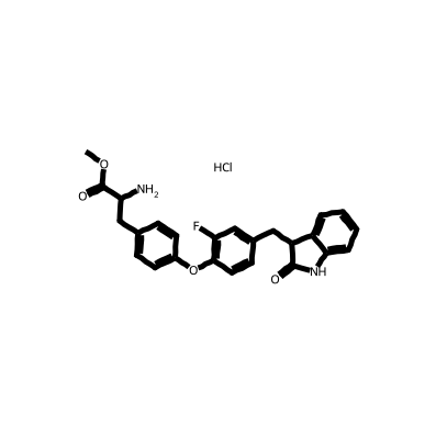 COC(=O)C(N)Cc1ccc(Oc2ccc(CC3C(=O)Nc4ccccc43)cc2F)cc1.Cl